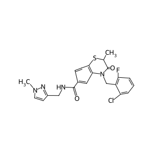 CC1Sc2ccc(C(=O)NCc3ccn(C)n3)cc2N(Cc2c(F)cccc2Cl)C1=O